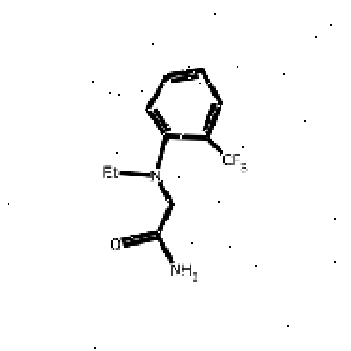 CCN(CC(N)=O)c1ccccc1C(F)(F)F